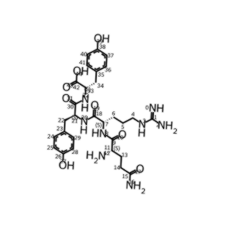 N=C(N)NCCC[C@H](NC(=O)[C@@H](N)CCC(N)=O)C(=O)N[C@@H](Cc1ccc(O)cc1)C(=O)N[C@@H](Cc1ccc(O)cc1)C(=O)O